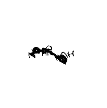 N#Cc1cccc(-c2ccc(C(=O)NCCCCN3CCc4ccc(O)cc4C3)cc2)c1